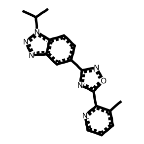 Cc1cccnc1-c1nc(-c2ccc3c(c2)nnn3C(C)C)no1